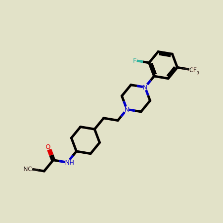 N#CCC(=O)NC1CCC(CCN2CCN(c3cc(C(F)(F)F)ccc3F)CC2)CC1